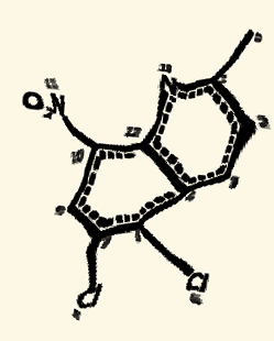 Cc1ccc2c(Cl)c(Cl)cc([N+](=O)[O-])c2n1